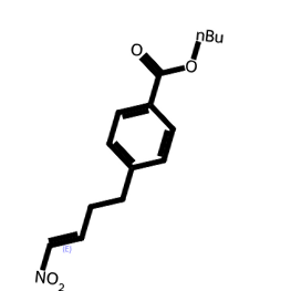 CCCCOC(=O)c1ccc(CC/C=C/[N+](=O)[O-])cc1